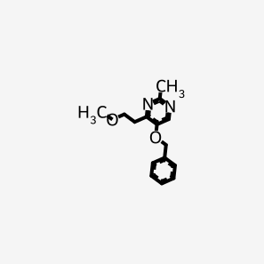 COCCc1nc(C)ncc1OCc1ccccc1